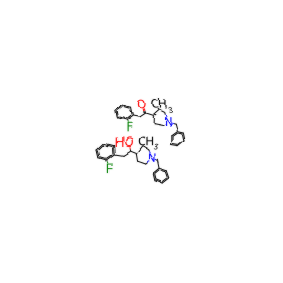 CC1CN(Cc2ccccc2)CCC1C(=O)Cc1ccccc1F.CC1CN(Cc2ccccc2)CCC1C(O)Cc1ccccc1F